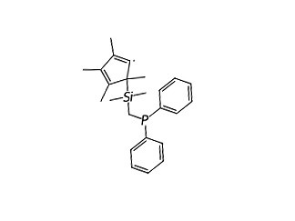 CC1=[C]C(C)([Si](C)(C)CP(c2ccccc2)c2ccccc2)C(C)=C1C